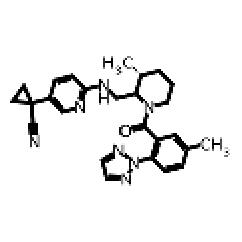 Cc1ccc(-n2nccn2)c(C(=O)N2CCC[C@@H](C)C2CNc2ccc(C3(C#N)CC3)cn2)c1